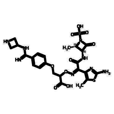 Cc1sc(N)nc1C(=NOC(COc1ccc(C(=N)NC2CNC2)cc1)C(=O)O)C(=O)N[C@@H]1C(=O)N(S(=O)(=O)O)[C@H]1C